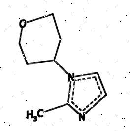 Cc1nccn1C1CCOCC1